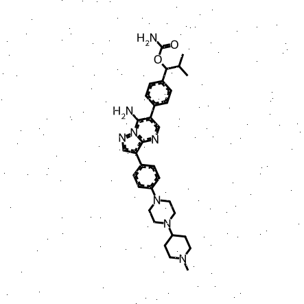 CC(C)C(OC(N)=O)c1ccc(-c2cnc3c(-c4ccc(N5CCN(C6CCN(C)CC6)CC5)cc4)cnn3c2N)cc1